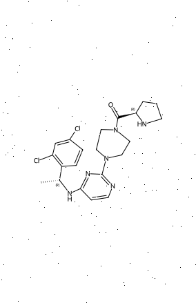 C[C@@H](Nc1ccnc(N2CCN(C(=O)[C@H]3CCCN3)CC2)n1)c1ccc(Cl)cc1Cl